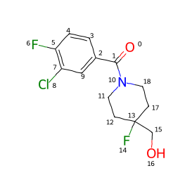 O=C(c1ccc(F)c(Cl)c1)N1CCC(F)(CO)CC1